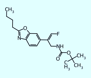 CCCCc1nc2ccc(C(=CF)CNC(=O)OC(C)(C)C)cc2o1